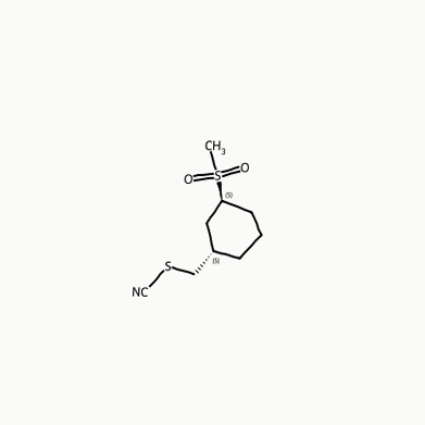 CS(=O)(=O)[C@H]1CCC[C@H](CSC#N)C1